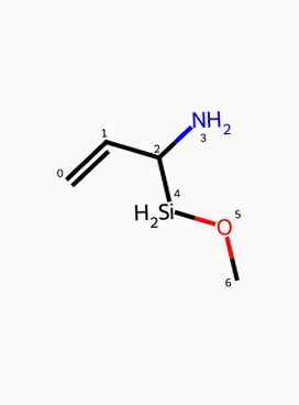 C=CC(N)[SiH2]OC